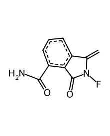 C=C1c2cccc(C(N)=O)c2C(=O)N1F